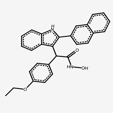 CCOc1ccc(C(C(=O)NO)c2c(-c3ccc4ccccc4c3)[nH]c3ccccc23)cc1